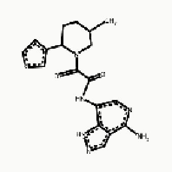 CC1CCC(c2ccsc2)N(C(=O)C(=O)Nc2cnc(N)c3cn[nH]c23)C1